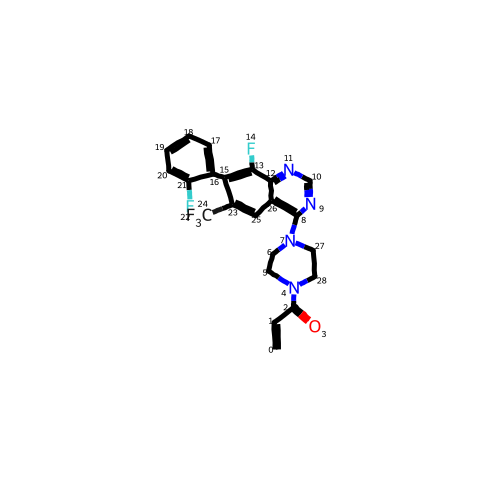 C=CC(=O)N1CCN(c2ncnc3c(F)c(-c4ccccc4F)c(C(F)(F)F)cc23)CC1